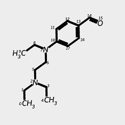 CCN(CC)CCN(CC)c1ccc(C=O)cc1